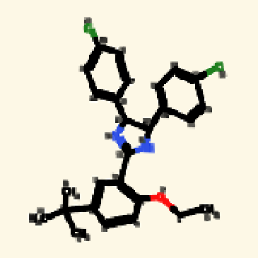 CCOc1ccc(C(C)(C)C)cc1C1=NC(c2ccc(Cl)cc2)C(c2ccc(Cl)cc2)N1